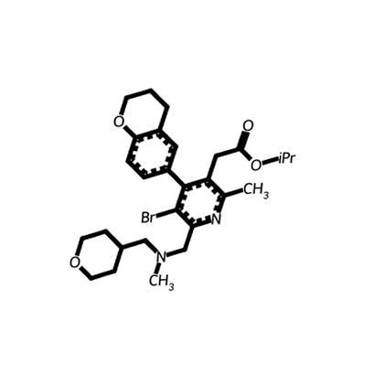 Cc1nc(CN(C)CC2CCOCC2)c(Br)c(-c2ccc3c(c2)CCCO3)c1CC(=O)OC(C)C